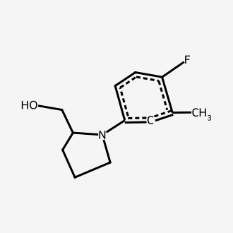 Cc1cc(N2CCCC2CO)ccc1F